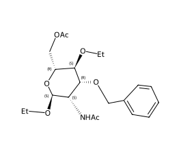 CCO[C@H]1O[C@H](COC(C)=O)[C@@H](OCC)[C@H](OCc2ccccc2)[C@@H]1NC(C)=O